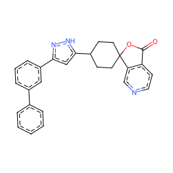 O=C1OC2(CCC(c3cc(-c4cccc(-c5ccccc5)c4)n[nH]3)CC2)c2cnccc21